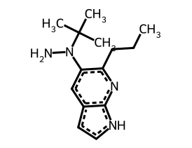 CCCc1nc2[nH]ccc2cc1N(N)C(C)(C)C